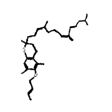 CCCCOc1c(C)cc2c(c1C)CCC(C)(CCCC(C)CCCC(C)CCCC(C)C)O2